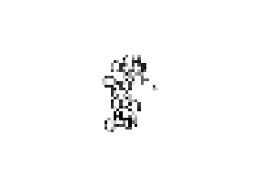 Cc1ccccc1N(c1ccccc1C)c1ccc2c3c1c1ccccc1n3c1ccc(-n3c4ccccc4c4ccncc43)c3c4ccccc4n2c31